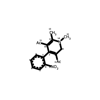 CC(=O)C1=C(c2ccccc2[N+](=O)[O-])C(C(C)=O)=C(C)N(C)C1